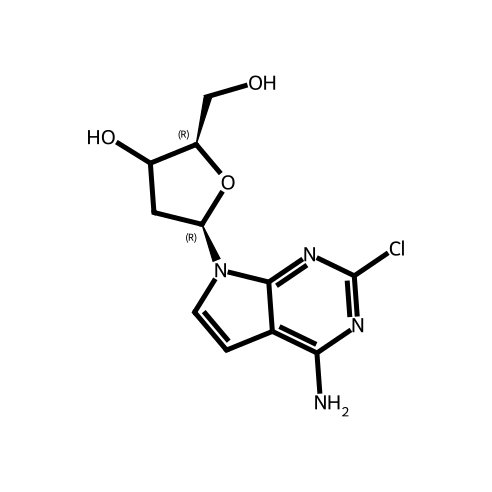 Nc1nc(Cl)nc2c1ccn2[C@H]1CC(O)[C@@H](CO)O1